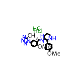 COc1ccc([C@@H]2NCCC[C@@H]2NCc2cc(-n3nnnc3C)ccc2OC)cc1.Cl.Cl